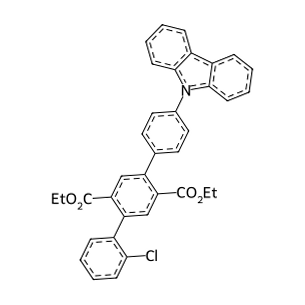 CCOC(=O)c1cc(-c2ccccc2Cl)c(C(=O)OCC)cc1-c1ccc(-n2c3ccccc3c3ccccc32)cc1